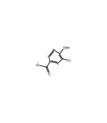 C[CH]C(=O)c1ccc(OC)c(Cl)c1